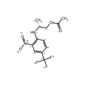 CC(=O)OC[C@@H](C)Nc1ccc(C(F)(F)F)cc1[N+](=O)[O-]